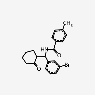 Cc1ccc(C(=O)NC(c2cccc(Br)c2)C2CCCCC2=O)cc1